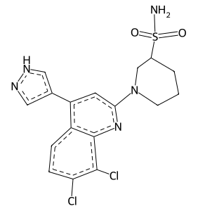 NS(=O)(=O)C1CCCN(c2cc(-c3cn[nH]c3)c3ccc(Cl)c(Cl)c3n2)C1